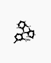 COc1cc(C)ccc1N1c2ncccc2Sc2cccnc21